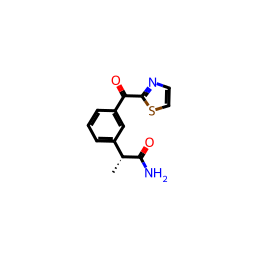 C[C@@H](C(N)=O)c1cccc(C(=O)c2nccs2)c1